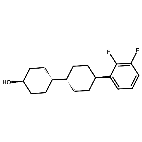 O[C@H]1CC[C@H]([C@H]2CC[C@H](c3cccc(F)c3F)CC2)CC1